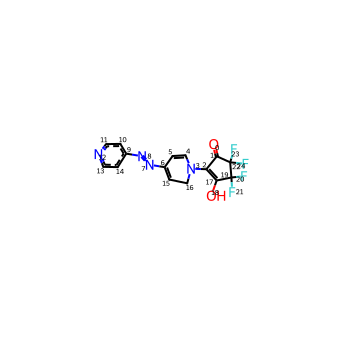 O=C1C(N2C=CC(N=Nc3ccncc3)=CC2)=C(O)C(F)(F)C1(F)F